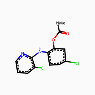 CNC(=O)Oc1cc(Cl)ccc1Nc1ncccc1Cl